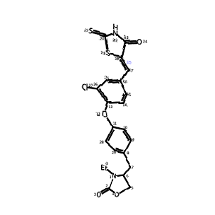 CCN1C(=O)OCC1Cc1ccc(Oc2ccc(/C=C3\SC(=S)NC3=O)cc2Cl)cc1